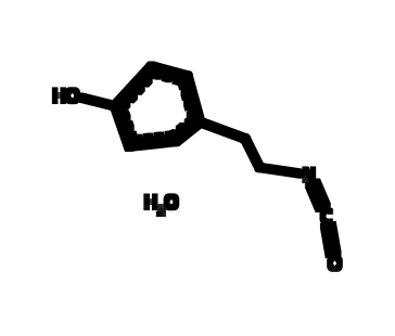 O.O=C=NCCc1ccc(O)cc1